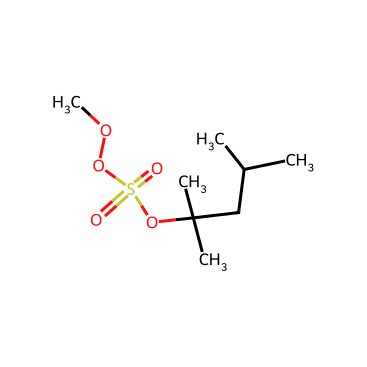 COOS(=O)(=O)OC(C)(C)CC(C)C